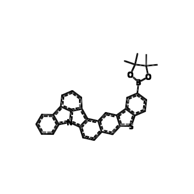 CC1(C)OB(c2ccc3sc4cc5ccc6c(c5cc4c3c2)c2cccc3c4ccccc4n6c32)OC1(C)C